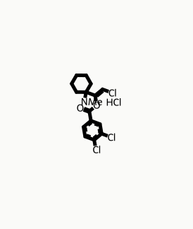 CNC1(/C(=C/Cl)OC(=O)c2ccc(Cl)c(Cl)c2)CCCCC1.Cl